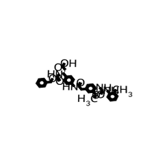 COc1cc(CC(=O)Nc2ccc([C@@H](CC(=O)O)NC(=O)OCc3ccccc3)cc2)ccc1NC(=O)Nc1ccccc1C